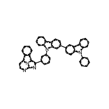 c1ccc(-n2c3ccccc3c3cc(-c4ccc5c6ccccc6n(-c6cccc(-c7nc8nccc9c%10ccccc%10c7n89)c6)c5c4)ccc32)cc1